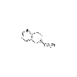 CCOC(=O)N1CCc2ncccc2C1